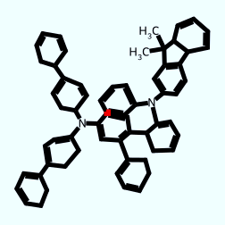 CC1(C)c2cc(N(C3=CC=CCC3c3ccc(N(C4=CC=C(C5=CC=CCC5)CC4)C4C=CC(C5C=CC=CC5)=CC4)cc3C3=CC=CCC3)c3ccccc3)ccc2C2C=CC=CC21